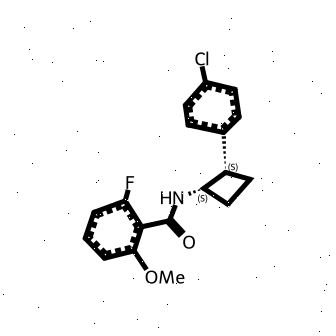 COc1cccc(F)c1C(=O)N[C@H]1CC[C@H]1c1ccc(Cl)cc1